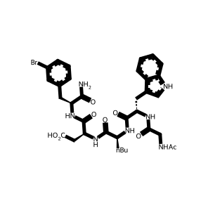 CCCC[C@H](NC(=O)[C@H](Cc1c[nH]c2ccccc12)NC(=O)CNC(C)=O)C(=O)N[C@@H](CC(=O)O)C(=O)N[C@@H](Cc1cccc(Br)c1)C(N)=O